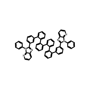 c1ccc(-n2c(-c3cccc(-c4ccccc4-c4ccccc4-c4ccccc4-c4ccccc4-c4cccc(-c5nc6cccnc6n5-c5ccccc5)c4)c3)nc3cccnc32)cc1